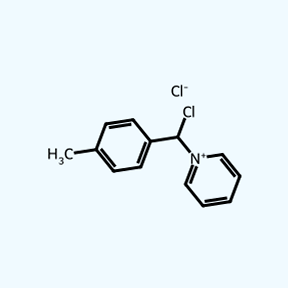 Cc1ccc(C(Cl)[n+]2ccccc2)cc1.[Cl-]